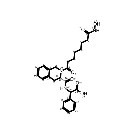 O=C(CCCCCCC(=O)N1Cc2ccccc2C[C@H]1C(=O)NC(C(=O)O)c1ccccc1)NO